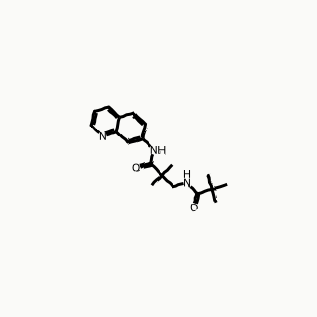 CC(C)(C)C(=O)NCC(C)(C)C(=O)Nc1ccc2cccnc2c1